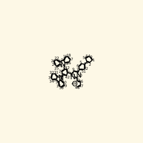 c1ccc(-c2ccc(-c3cc(-c4cc(-n5c6ccccc6c6ccccc65)cc(-n5c6ccccc6c6ccccc65)c4)nc(-c4ccco4)n3)cc2)cc1